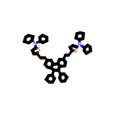 C(=C\c1ccc(N(c2ccccc2)c2ccccc2)s1)/c1ccc2c(-c3ccccc3)c(-c3ccccc3)c3ccc(/C=C/c4ccc(N(c5ccccc5)c5ccccc5)s4)cc3c2c1